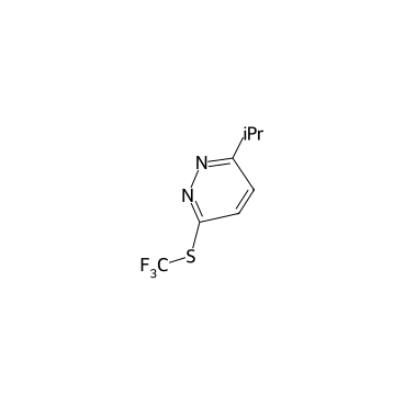 CC(C)c1ccc(SC(F)(F)F)nn1